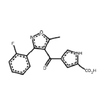 Cc1onc(-c2ccccc2F)c1C(=O)c1c[nH]c(C(=O)O)c1